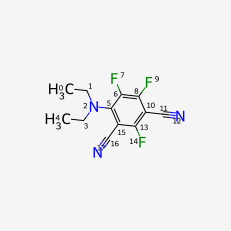 CCN(CC)c1c(F)c(F)c(C#N)c(F)c1C#N